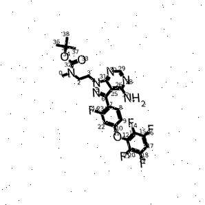 CN(CCn1nc(-c2ccc(Oc3c(F)c(F)cc(F)c3F)cc2F)c2c(N)ncnc21)C(=O)OC(C)(C)C